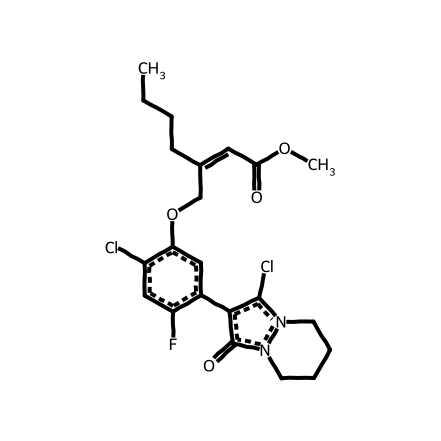 CCCC/C(=C/C(=O)OC)COc1cc(-c2c(Cl)n3n(c2=O)CCCC3)c(F)cc1Cl